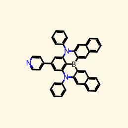 c1ccc(N2c3cc4ccccc4cc3B3c4cc5ccccc5cc4N(c4ccccc4)c4cc(-c5ccncc5)cc2c43)cc1